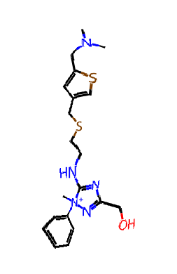 CN(C)Cc1cc(CSCCNC2=NC(CO)=N[N+]2(C)c2ccccc2)cs1